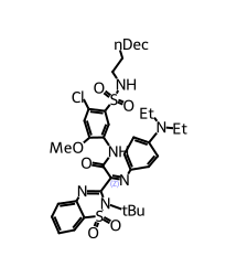 CCCCCCCCCCCCNS(=O)(=O)c1cc(NC(=O)/C(=N\c2ccc(N(CC)CC)cc2)C2=Nc3ccccc3S(=O)(=O)N2C(C)(C)C)c(OC)cc1Cl